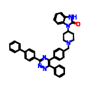 O=c1[nH]c2ccccc2n1C1CCN(Cc2ccc(-c3nc(-c4ccc(-c5ccccc5)cc4)nnc3-c3ccccc3)cc2)CC1